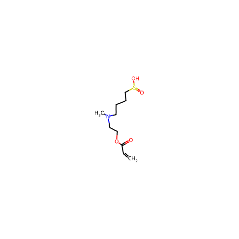 C=CC(=O)OCCN(C)CCCCS(=O)O